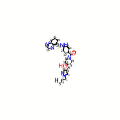 CCn1cc(CC2(O)CCN(C(=O)C3C=CC(NSc4cccc5nccnc45)=CC3)CC2)cn1